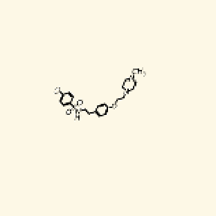 CN1CCN(CCOc2ccc(CCNS(=O)(=O)c3ccc(Cl)cc3)cc2)CC1